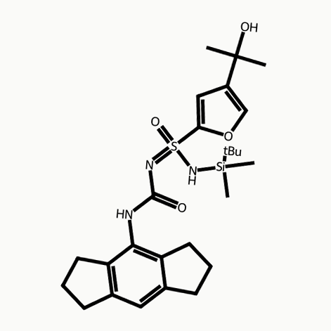 CC(C)(O)c1coc(S(=O)(=NC(=O)Nc2c3c(cc4c2CCC4)CCC3)N[Si](C)(C)C(C)(C)C)c1